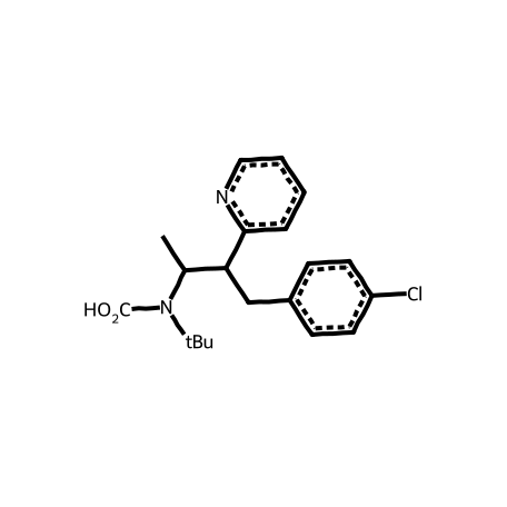 CC(C(Cc1ccc(Cl)cc1)c1ccccn1)N(C(=O)O)C(C)(C)C